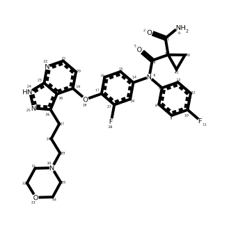 NC(=O)C1(C(=O)N(c2ccc(F)cc2)c2ccc(Oc3ccnc4[nH]nc(CCCN5CCOCC5)c34)c(F)c2)CC1